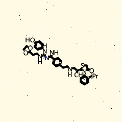 CC(C)c1ccccc1N1C(=O)CSC1C(C)CNCCc1ccc(C(=N)/N=C(/NCCC2OCCO2)Nc2ccc(O)cc2)cc1